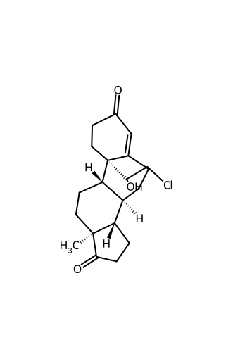 C[C@]12CC[C@H]3[C@@H](CCC4=CC(=O)CC[C@@]43C(O)CCl)[C@@H]1CCC2=O